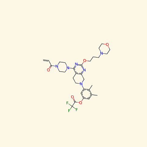 C=CC(=O)N1CCN(c2nc(OCCCN3CCOCC3)nc3c2CCN(c2cc(OC(=O)C(F)(F)F)cc(C)c2C)C3)CC1